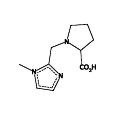 Cn1ccnc1CN1CCCC1C(=O)O